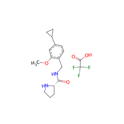 COc1cc(C2CC2)ccc1CNC(=O)[C@@H]1CCCN1.O=C(O)C(F)(F)F